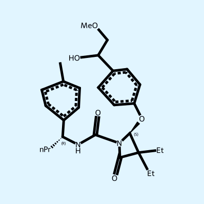 CCC[C@@H](NC(=O)N1C(=O)C(CC)(CC)[C@@H]1Oc1ccc(C(O)COC)cc1)c1ccc(C)cc1